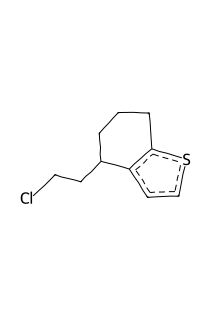 ClCCC1CCCc2sccc21